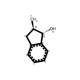 C[C@@H]1Cc2ccccc2[C@H]1O